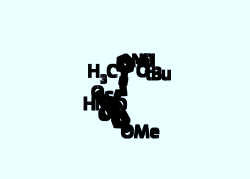 COc1ccc(S(=O)(=O)C2(CCCC#Cc3cc(NC(=O)OC(C)(C)C)ccc3C)SC(=O)NC2=O)cc1